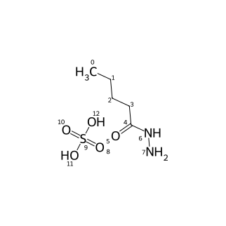 CCCCC(=O)NN.O=S(=O)(O)O